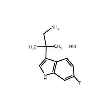 CC(C)(CN)c1c[nH]c2cc(F)ccc12.Cl